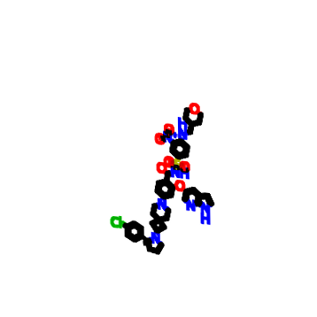 O=C(NS(=O)(=O)c1ccc(NCC2CCOCC2)c([N+](=O)[O-])c1)c1ccc(N2CCC3(CC2)CC(N2CCC[C@H]2c2ccc(Cl)cc2)C3)cc1Oc1cnc2[nH]ccc2c1